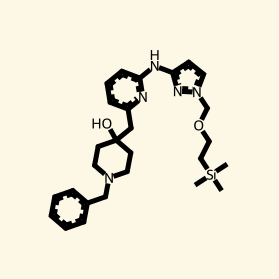 C[Si](C)(C)CCOCn1ccc(Nc2cccc(CC3(O)CCN(Cc4ccccc4)CC3)n2)n1